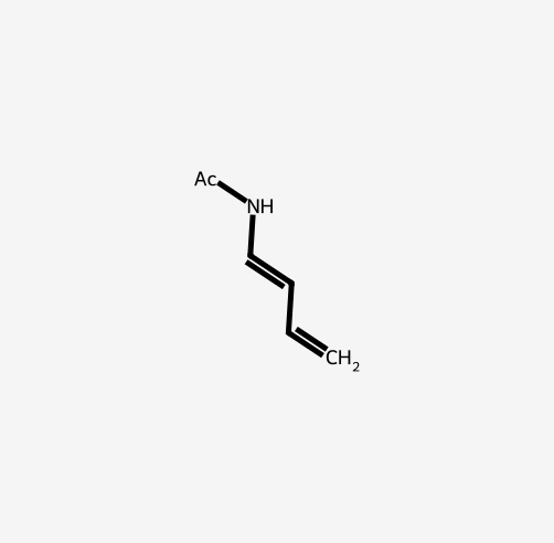 C=CC=CNC(C)=O